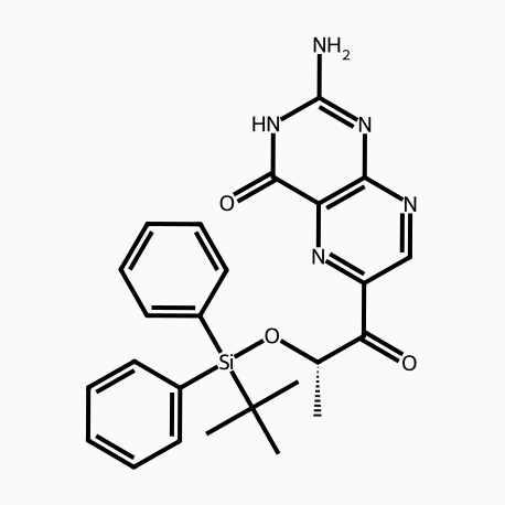 C[C@H](O[Si](c1ccccc1)(c1ccccc1)C(C)(C)C)C(=O)c1cnc2nc(N)[nH]c(=O)c2n1